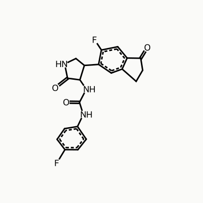 O=C(Nc1ccc(F)cc1)NC1C(=O)NCC1c1cc2c(cc1F)C(=O)CC2